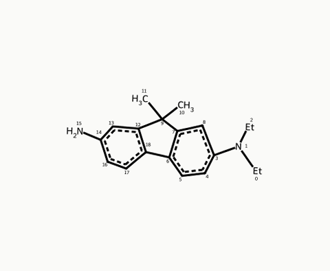 CCN(CC)c1ccc2c(c1)C(C)(C)c1cc(N)ccc1-2